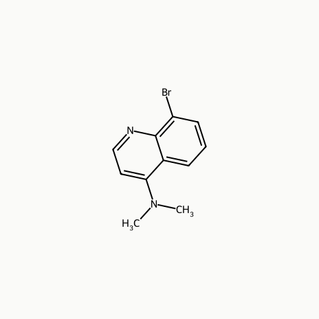 CN(C)c1ccnc2c(Br)cccc12